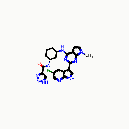 Cn1ccc2c(NC3CCC[C@@H](NC(=O)c4c[nH]nn4)C3)nc(-c3c[nH]c4ncc(F)cc34)nc21